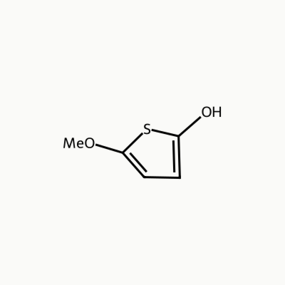 COc1ccc(O)s1